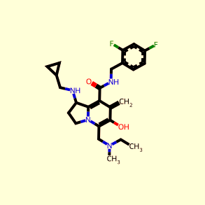 C=C1C(O)=C(CN(C)CC)N2CCC(NCC3CC3)C2=C1C(=O)NCc1ccc(F)cc1F